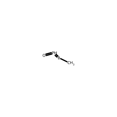 CB=[PH]=O